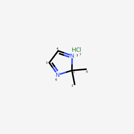 CC1(C)N=CC=N1.Cl